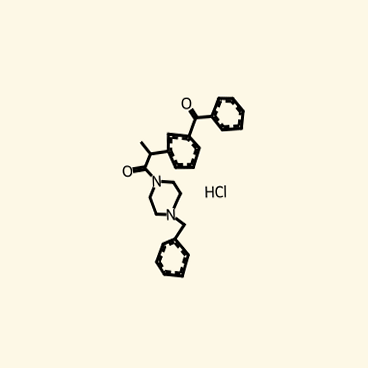 CC(C(=O)N1CCN(Cc2ccccc2)CC1)c1cccc(C(=O)c2ccccc2)c1.Cl